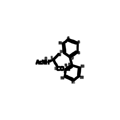 CC(=O)N[C@@H](C)C(=O)O.c1ccc(-c2ccccc2)cc1